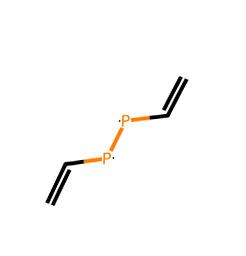 C=C[P][P]C=C